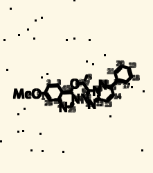 COc1ccc2c(O[C@@H](C)c3nnc4ccc(-c5ccccc5)nn34)ncnc2c1